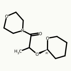 CC(O[C@@H]1CCCCO1)C(=O)N1CCOCC1